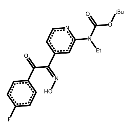 CCN(C(=O)OC(C)(C)C)c1cc(/C(=N/O)C(=O)c2ccc(F)cc2)ccn1